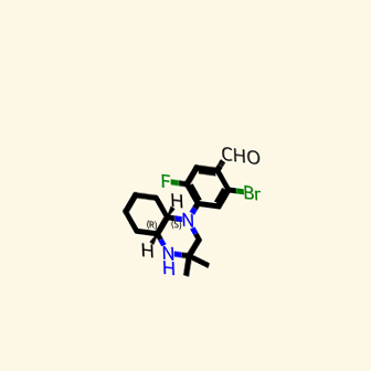 CC1(C)CN(c2cc(Br)c(C=O)cc2F)[C@H]2CCCC[C@H]2N1